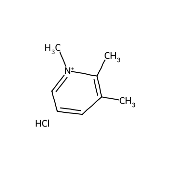 Cc1ccc[n+](C)c1C.Cl